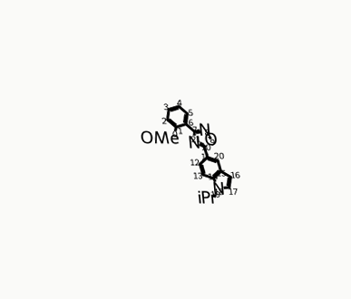 COc1ccccc1-c1noc(-c2ccc3c(ccn3C(C)C)c2)n1